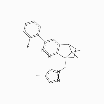 Cc1cnn(C[C@]23CCC(c4cc(-c5ccccc5F)nnc42)C3(C)C)c1